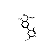 CCCC(CC(C(=O)Cl)c1ccc(O)c(C(CCC)C(C)(C)C)c1)C(C)(C)C